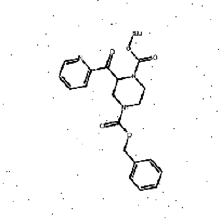 CC(C)(C)OC(=O)N1CCN(C(=O)OCc2ccccc2)CC1C(=O)c1ccccn1